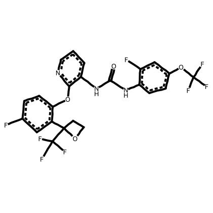 O=C(Nc1ccc(OC(F)(F)F)cc1F)Nc1cccnc1Oc1ccc(F)cc1C1(C(F)(F)F)CCO1